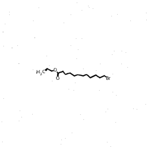 C=CCOC(=O)CCCCCCCCCCCBr